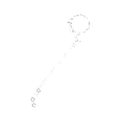 CO[C@H]1C[C@@H]2CC[C@@H](C)[C@@](O)(O2)C(=O)C(=O)N2CCCC[C@H]2C(=O)O[C@H]([C@H](N)C[C@@H]2CC[C@@H](OC(=O)NCCOCCOCCOCCOCCOCCOCCOCCOCCC(=O)NCC[S+]([O-])c3ccc(C(=O)N4CCOc5ccc(-c6ccc(N)nc6)cc5C4)c(C)c3)[C@H](OC)C2)CC[C@H](C)/C=C(\C)[C@@H](O)[C@@H](O)C(=O)[C@H](C)C[C@H](C)/C=C/C=C/C=C/1C